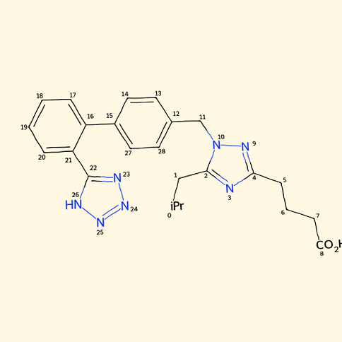 CC(C)Cc1nc(CCCC(=O)O)nn1Cc1ccc(-c2ccccc2-c2nnn[nH]2)cc1